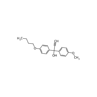 C#CC(O)(c1ccc(OC)cc1)c1ccc(OCCCC)cc1